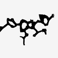 CNC(=O)c1c(-c2ccc(F)cc2)oc2cc(-c3cc(C4CC4)no3)cc(OC(C)C)c12